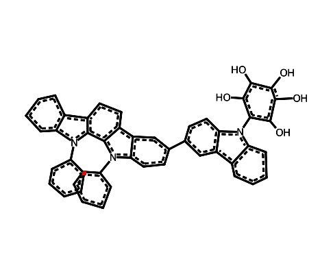 Oc1c(O)c(O)c(-n2c3ccccc3c3cc(-c4ccc5c(c4)c4ccc6c7ccccc7n(-c7ccccc7)c6c4n5-c4ccccc4)ccc32)c(O)c1O